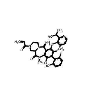 C=CC(=O)N1CCN2C(=N)c3c(Nc4c(C)ccnc4C(C)O)c(F)c(-c4c(O)cccc4F)c(Cl)c3N(C)C(=O)C2C1